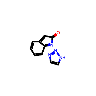 O=C1C=c2ccccc2=N1.c1c[nH]nn1